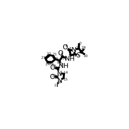 CC1N2C(=O)C(NC(=O)C(NC(=O)N3CCN(I)C3=O)c3ccccc3)C2SC1(C)C